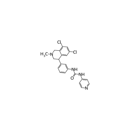 CN1Cc2c(Cl)cc(Cl)cc2C(c2cccc(NC(=O)Nc3ccncc3)c2)C1